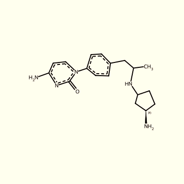 CC(Cc1ccc(-n2ccc(N)nc2=O)cc1)NC1CC[C@@H](N)C1